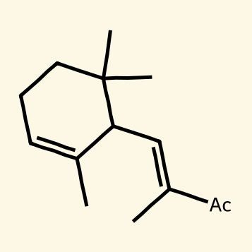 CC(=O)C(C)=CC1C(C)=CCCC1(C)C